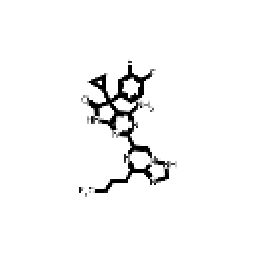 Nc1nc(C2=CN3NCN=C3C(CCCC(F)(F)F)=N2)nc2c1C(c1ccc(F)c(F)c1)(C1CC1)C(=O)N2